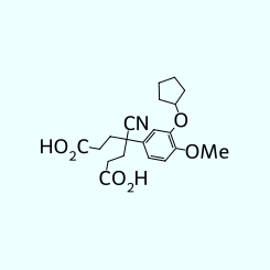 COc1ccc(C(C#N)(CCC(=O)O)CCC(=O)O)cc1OC1CCCC1